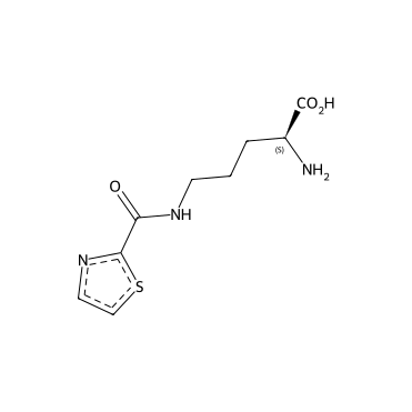 N[C@@H](CCCNC(=O)c1nccs1)C(=O)O